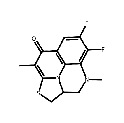 Cc1c2n3c4c(c(F)c(F)cc4c1=O)N(C)CC3CS2